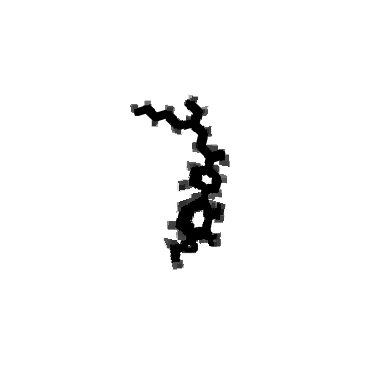 CCCCCC(CC)CCC(C)c1ccc(-c2ccc(OCC)c(Cl)c2F)cc1